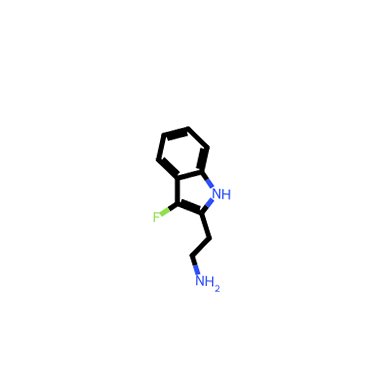 NCCc1[nH]c2ccccc2c1F